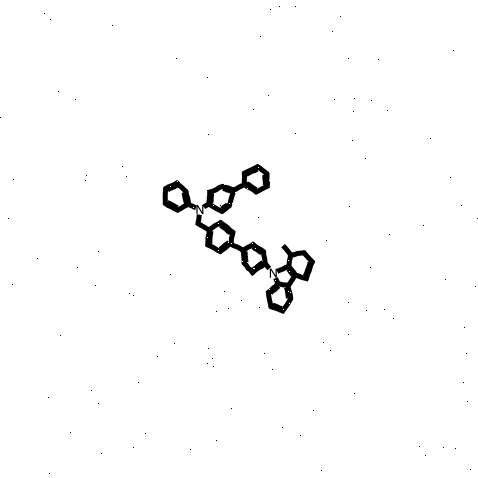 CC1CC=Cc2c1n(-c1ccc(-c3ccc(CN(c4ccccc4)c4ccc(-c5ccccc5)cc4)cc3)cc1)c1ccccc21